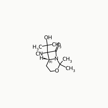 [C-]#[N+]C1(C(C)(C)O)C(=O)N2[C@@H]1CCOC2(C)C